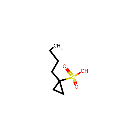 CCCCC1(S(=O)(=O)O)CC1